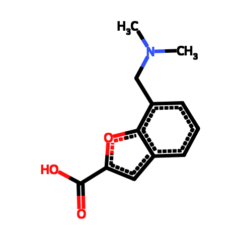 CN(C)Cc1cccc2cc(C(=O)O)oc12